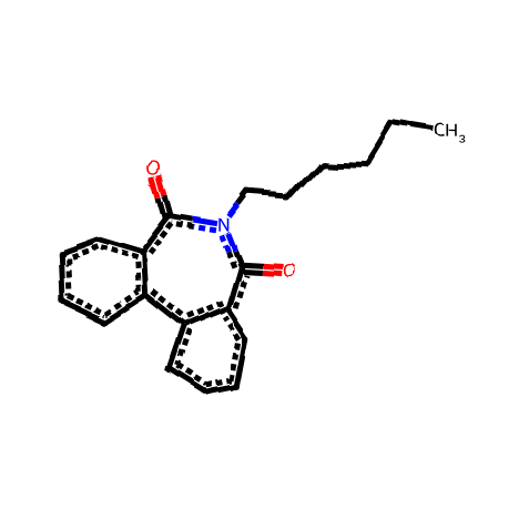 CCCCCCn1c(=O)c2ccccc2c2ccccc2c1=O